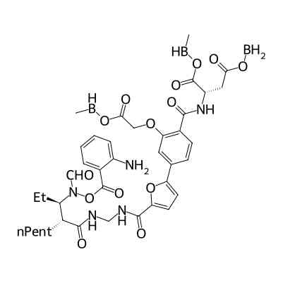 BOC(=O)C[C@H](NC(=O)c1ccc(-c2ccc(C(=O)NCNC(=O)[C@H](CCCCC)[C@@H](CC)N(C=O)OC(=O)c3ccccc3N)o2)cc1OCC(=O)OBC)C(=O)OBC